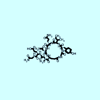 CCC(C)C1NC(=O)[C@H](Cc2ccc(O)cc2)NC(=O)CNC(=O)CC[C@@H](C(=O)N(C)CC(=O)N[C@@H](CCC(=O)O)C(=O)NCC(N)=O)NC(=O)[C@H](CC(N)=O)NC(=O)[C@H](CCC(N)=O)NC1=O